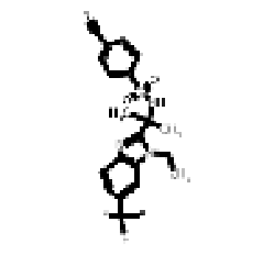 CCn1c(C(C)(C)NS(=O)(=O)c2ccc(C#N)cc2)nc2ccc(C(F)(F)F)cc21